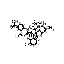 COc1cc(C(=O)O)ccc1N1CN2[C@@H](CC(C)(C)C)C3(C(=O)Nc4cc(C)cnc43)[C@@H](c3cccc(Cl)c3F)[C@@H]2C1=O